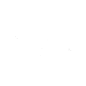 O=C(C(=O)c1c[nH]c2ccccc12)c1c[nH]c2ccccc12